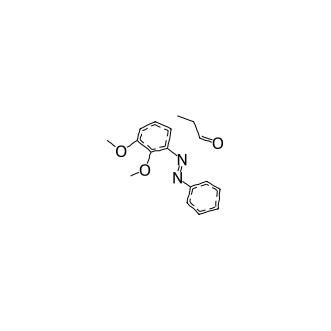 CCC=O.COc1cccc(N=Nc2ccccc2)c1OC